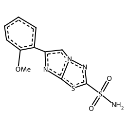 COc1ccccc1-c1cn2nc(S(N)(=O)=O)sc2n1